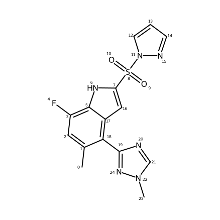 Cc1cc(F)c2[nH]c(S(=O)(=O)n3cccn3)cc2c1-c1ncn(C)n1